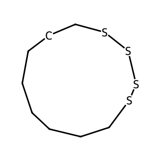 C1CCCCSSSSCCC1